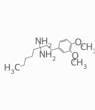 CCCCCC(N)(N)CCc1ccc(OC)c(OC)c1